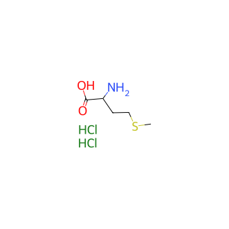 CSCCC(N)C(=O)O.Cl.Cl